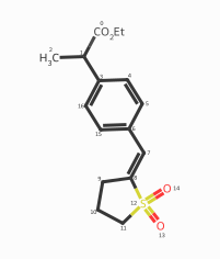 CCOC(=O)C(C)c1ccc(/C=C2\CCCS2(=O)=O)cc1